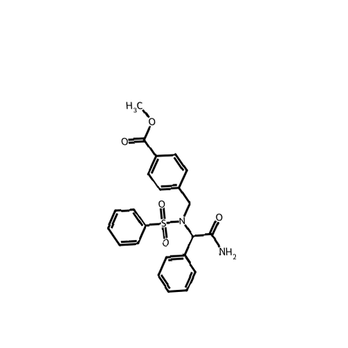 COC(=O)c1ccc(CN(C(C(N)=O)c2ccccc2)S(=O)(=O)c2ccccc2)cc1